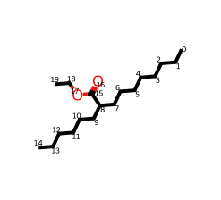 CCCCCCCCC(CCCCCC)C(=O)OCC